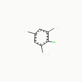 Cc1cc(C)c(Cl)c(C(C)(C)C)c1